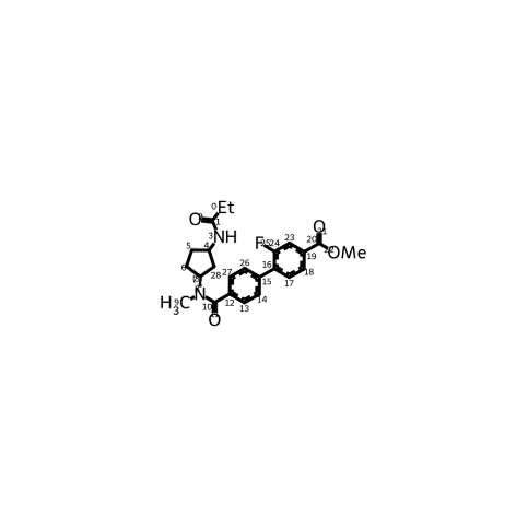 CCC(=O)NC1CC[C@H](N(C)C(=O)c2ccc(-c3ccc(C(=O)OC)cc3F)cc2)C1